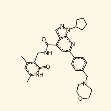 Cc1cc(C)c(CNC(=O)c2cc(-c3ccc(CN4CCOCC4)cc3)nc3c2cnn3C2CCCC2)c(=O)[nH]1